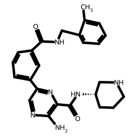 Cc1ccccc1CNC(=O)c1cccc(-c2cnc(N)c(C(=O)N[C@H]3CCCNC3)n2)c1